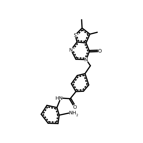 Cc1sc2ncn(Cc3ccc(C(=O)Nc4ccccc4N)cc3)c(=O)c2c1C